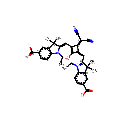 CCN1/C(=C\C2=C(O)C(=C\C3=[N+](CC)c4ccc(C(=O)O)cc4C3(C)C)/C2=C(C#N)C#N)C(C)(C)c2cc(C(=O)O)ccc21